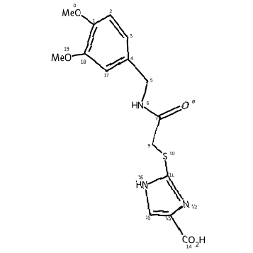 COc1ccc(CNC(=O)CSc2nc(C(=O)O)c[nH]2)cc1OC